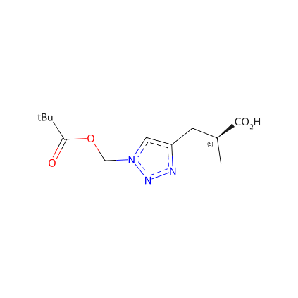 C[C@@H](Cc1cn(COC(=O)C(C)(C)C)nn1)C(=O)O